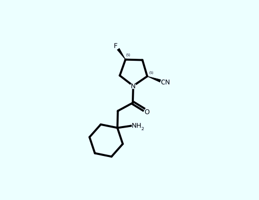 N#C[C@@H]1C[C@H](F)CN1C(=O)CC1(N)CCCCC1